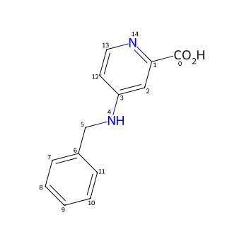 O=C(O)c1cc(NCc2ccccc2)ccn1